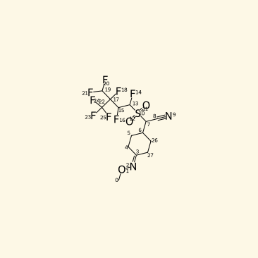 CON=C1CCC(C(C#N)S(=O)(=O)C(F)C(F)C(F)(C(F)F)C(F)(F)F)CC1